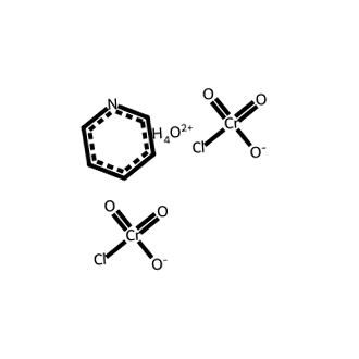 [OH4+2].[O]=[Cr](=[O])([O-])[Cl].[O]=[Cr](=[O])([O-])[Cl].c1ccncc1